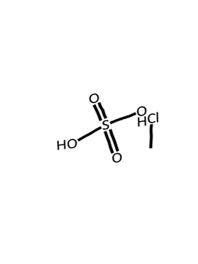 CCl.O=S(=O)(O)O